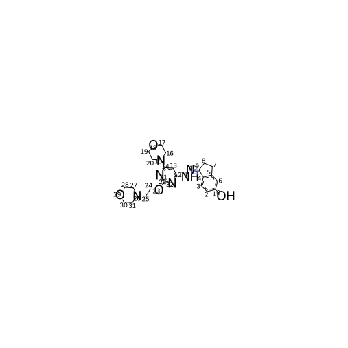 Oc1ccc2c(c1)CC/C2=N/Nc1cc(N2CCOCC2)nc(OCCN2CCOCC2)n1